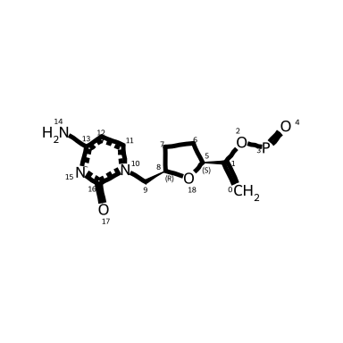 C=C(OP=O)[C@@H]1CC[C@H](Cn2ccc(N)nc2=O)O1